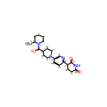 CC(C)(C)C1CCCCN1C(=O)C1CCN(c2ccc(C3CCC(=O)NC3=O)nc2)CC1